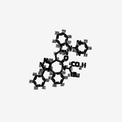 CC(C)(C)C(C(=O)O)N1C(=O)C(Cc2nn(-c3ncccn3)c3ccccc23)c2nnc(-c3ccccc3)n2-c2ccccc21